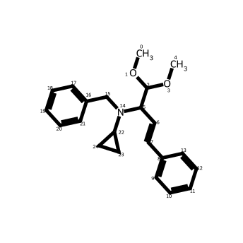 COC(OC)C(C=Cc1ccccc1)N(Cc1ccccc1)C1CC1